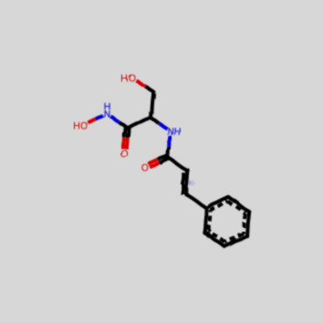 O=C(/C=C/c1ccccc1)NC(CO)C(=O)NO